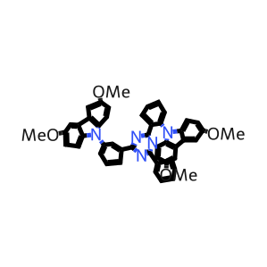 COc1ccc2c(c1)c1cc(OC)ccc1n2-c1cccc(-c2nc(-c3ccccc3)nc(-c3ccccc3-n3c4ccc(OC)cc4c4cc(OC)ccc43)n2)c1